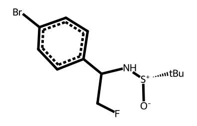 CC(C)(C)[S@+]([O-])NC(CF)c1ccc(Br)cc1